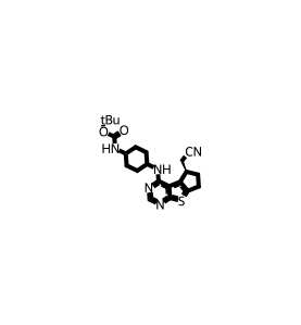 CC(C)(C)OC(=O)NC1CCC(Nc2ncnc3sc4c(c23)[C@@H](CC#N)CC4)CC1